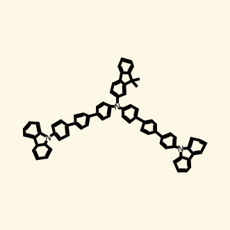 CC1(C)c2ccccc2-c2ccc(N(c3ccc(-c4ccc(-c5ccc(N6c7ccccc7C7C=CC=CC76)cc5)cc4)cc3)c3ccc(-c4ccc(-c5ccc(-n6c7ccccc7c7ccccc76)cc5)cc4)cc3)cc21